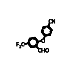 N#Cc1ccc(Oc2ccc(C(F)(F)F)cc2C=O)cc1